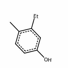 CCc1cc(O)ccc1C